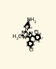 Cc1nc(N2CC3C(N)C3C2)n2nc(-c3ccccc3Cl)c(-c3ccc(Cl)cc3)c2n1